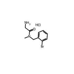 CN(Cc1ccccc1Br)C(=O)CN.Cl